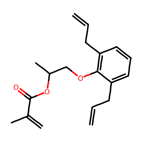 C=CCc1cccc(CC=C)c1OCC(C)OC(=O)C(=C)C